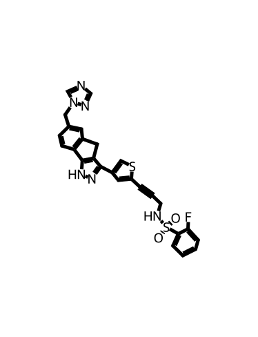 O=S(=O)(NCC#Cc1cc(-c2n[nH]c3c2Cc2cc(Cn4cncn4)ccc2-3)cs1)c1ccccc1F